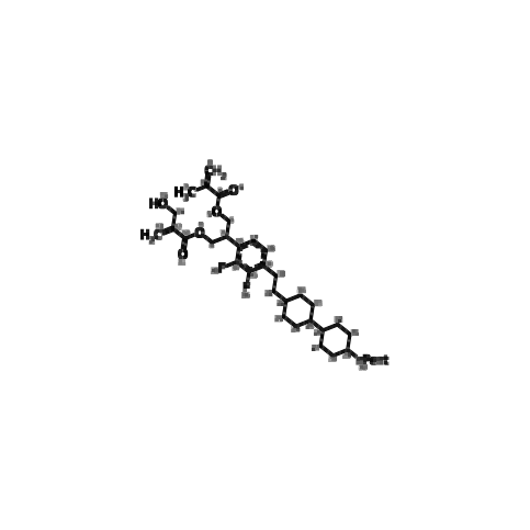 C=C(C)C(=O)OCC(COC(=O)C(=C)CO)c1ccc(CCC2CCC(C3CCC(CCCCC)CC3)CC2)c(F)c1F